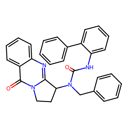 O=C(Nc1ccccc1-c1ccccc1)N(Cc1ccccc1)C1CCn2c1nc1ccccc1c2=O